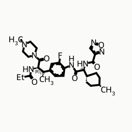 CCC(=O)N[C@@H](C(=O)N1CCN(C)CC1)[C@@H](C)c1ccc(NC(=O)[C@@H](NC(=O)c2cnon2)[C@H]2CC[C@H](C)CC2)c(F)c1